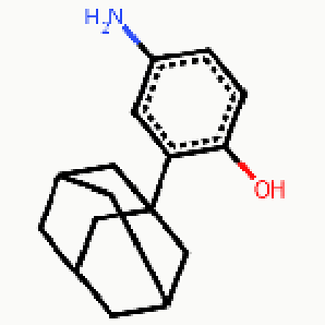 Nc1ccc(O)c(C23CC4CC(CC(C4)C2)C3)c1